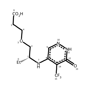 CC[C@H](COCCC(=O)O)Nc1cn[nH]c(=O)c1C(F)(F)F